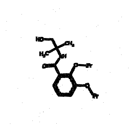 CC(C)Oc1cccc(C(=O)NC(C)(C)CO)c1OC(C)C